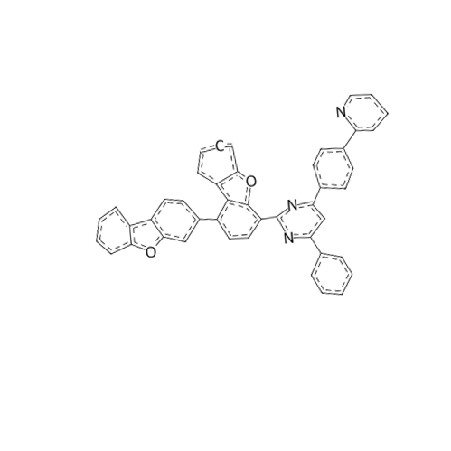 c1ccc(-c2cc(-c3ccc(-c4ccccn4)cc3)nc(-c3ccc(-c4ccc5c(c4)oc4ccccc45)c4c3oc3ccccc34)n2)cc1